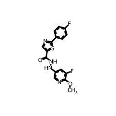 COc1ncc(NNC(=O)c2cnc(-c3ccc(F)cc3)s2)cc1F